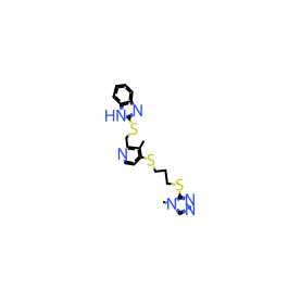 Cc1c(SCCCSc2nncn2C)ccnc1CSc1nc2ccccc2[nH]1